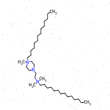 CCCCCCCCCCCCCC[N+](C)(C)CCN1CC[N+](C)(CCCCCCCCCCCCCC)CC1